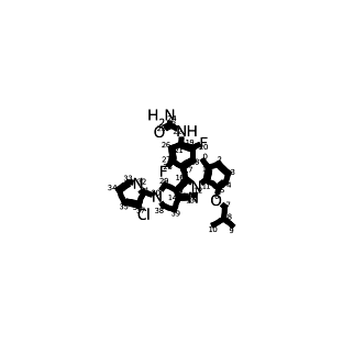 Cc1cccc(OCC(C)C)c1-n1nc2c(c1-c1cc(F)c(NC(N)=O)cc1F)CN(c1ncccc1Cl)CC2